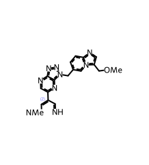 CN/C=C(\C=N)c1cnc2nnn(Cc3ccc4ncc(COC)n4c3)c2n1